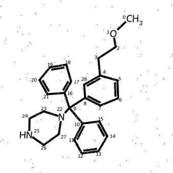 COCCc1cccc(C(c2ccccc2)(c2ccccc2)N2CCNCC2)c1